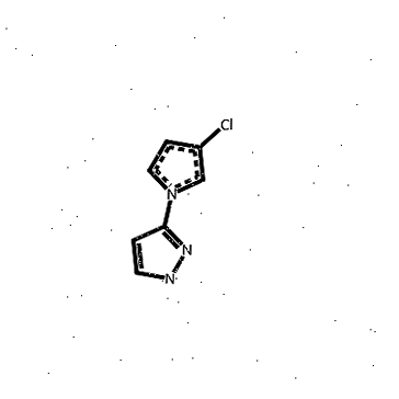 Clc1ccn(C2=N[N]C=C2)c1